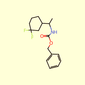 CC(NC(=O)OCc1ccccc1)C1CCCC(F)(F)C1